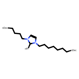 CCCCCCCCCCCCCCCCCN1C=CN(CCCCCCCCCCCCCC)C1CCC